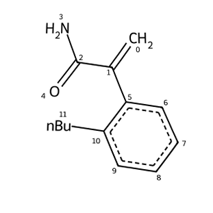 C=C(C(N)=O)c1ccccc1CCCC